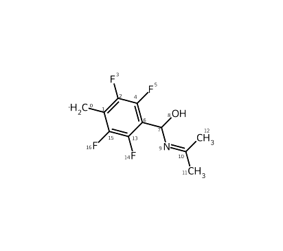 [CH2]c1c(F)c(F)c(C(O)N=C(C)C)c(F)c1F